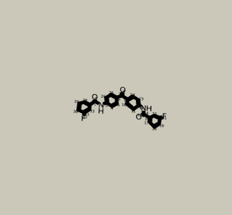 O=C(Nc1ccc(C(=O)c2ccc(NC(=O)c3cccc(F)c3)cc2)cc1)c1cccc(F)c1